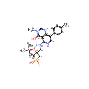 Cn1cnc2c(-c3ccc(C(F)(F)F)cc3)cnc(NCC3(O[Si](C)(C)C(C)(C)C)CS(=O)(=O)C3)c2c1=O